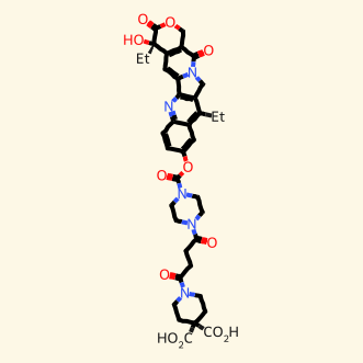 CCc1c2c(nc3ccc(OC(=O)N4CCN(C(=O)CCC(=O)N5CCC(C(=O)O)(C(=O)O)CC5)CC4)cc13)-c1cc3c(c(=O)n1C2)COC(=O)[C@]3(O)CC